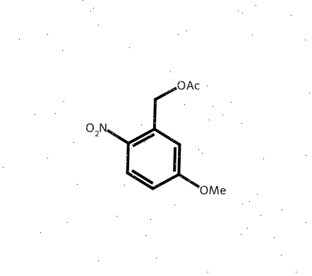 COc1ccc([N+](=O)[O-])c(COC(C)=O)c1